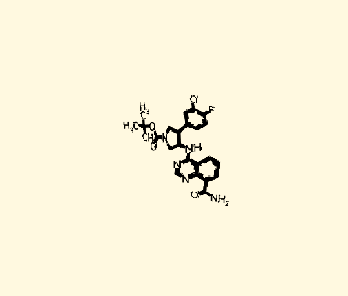 CC(C)(C)OC(=O)N1CC(Nc2ncnc3c(C(N)=O)cccc23)C(c2ccc(F)c(Cl)c2)C1